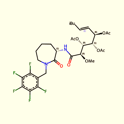 CCC(C)/C=C/[C@@H](OC(C)=O)[C@H](OC(C)=O)[C@@H](OC(C)=O)[C@@H](OC)C(=O)N[C@H]1CCCCN(Cc2c(F)c(F)c(F)c(F)c2F)C1=O